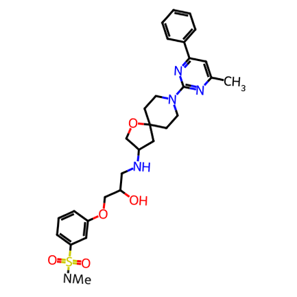 CNS(=O)(=O)c1cccc(OCC(O)CNC2COC3(CCN(c4nc(C)cc(-c5ccccc5)n4)CC3)C2)c1